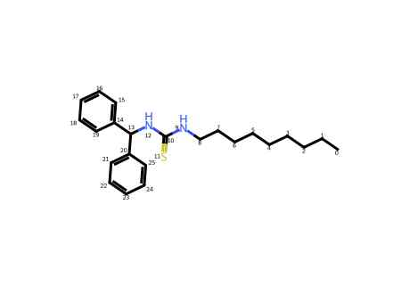 CCCCCCCCCNC(=S)NC(c1ccccc1)c1ccccc1